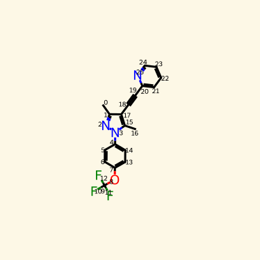 Cc1nn(-c2ccc(OC(F)(F)F)cc2)c(C)c1C#Cc1ccccn1